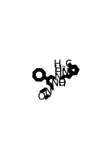 Cc1cccc2c1NC(C(=O)NC1CC(C3CCCCCCC3)CC(CN3CCOCC3)N1)C2